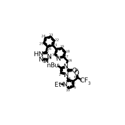 CCCCc1cn(-c2c(C(=O)C(F)(F)F)ccn2CC)c(=O)n1Cc1ccc(-c2ccccc2-c2nnn[nH]2)cn1